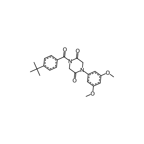 COc1cc(OC)cc(N2CC(=O)N(C(=O)c3ccc(C(C)(C)C)cc3)CC2=O)c1